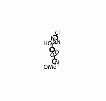 COc1ccc(C2COc3cc(C(O)c4cnc5cc(Cl)cnn45)ccc3O2)cn1